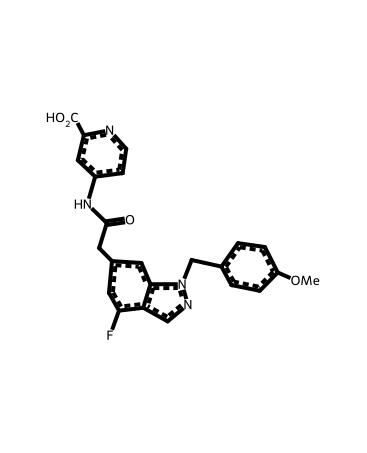 COc1ccc(Cn2ncc3c(F)cc(CC(=O)Nc4ccnc(C(=O)O)c4)cc32)cc1